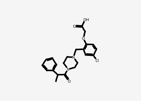 CC(C(=O)N1CCN(Cc2cc(Cl)ccc2OCC(=O)O)CC1)c1ccccc1